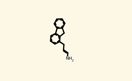 NC=CCc1cccc2c1Cc1ccccc1-2